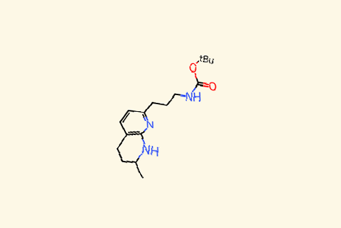 CC1CCc2ccc(CCCNC(=O)OC(C)(C)C)nc2N1